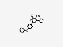 N#Cc1c(C2CCCC2)cc(-c2ccc(Oc3ccccc3)cc2)[nH]c1=O